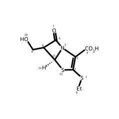 CCSC1=C(C(=O)O)N2C(=O)C(CO)[C@@H]2S1